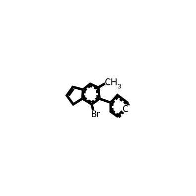 Cc1cc2c(c(Br)c1-c1ccccc1)CC=C2